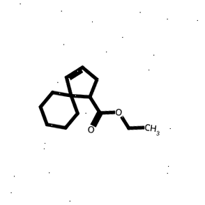 CCOC(=O)C1CC=CC12CCCCC2